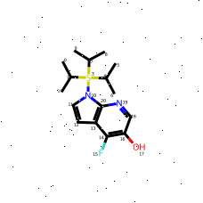 CC(C)S(C(C)C)(C(C)C)n1ccc2c(F)c(O)cnc21